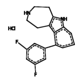 Cl.Fc1cc(F)cc(-c2cccc3[nH]c4c(c23)CCNCC4)c1